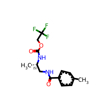 Cc1ccc(C(=O)NC[C@H](C)NC(=O)OCC(F)(F)F)cc1